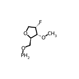 CO[C@H]1[C@@H](F)CO[C@@H]1COP